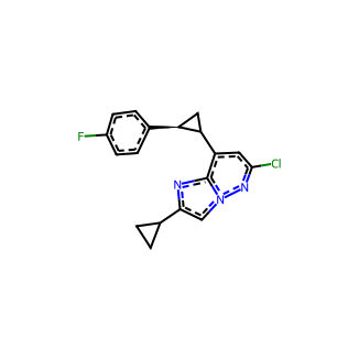 Fc1ccc([C@H]2CC2c2cc(Cl)nn3cc(C4CC4)nc23)cc1